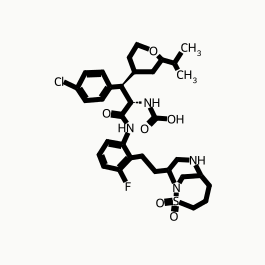 CC(C)C1CC([C@H](c2ccc(Cl)cc2)[C@H](NC(=O)O)C(=O)Nc2cccc(F)c2CCC2CNC3CCCS(=O)(=O)N2C3)CCO1